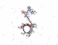 CNN(C)Cc1cc2cccnc2n1CCC(=O)N[C@@H](CCC(=O)O)C(=O)NCCOCCOCCC(=O)N(C)[C@@H](C)C(=O)O[C@H]1CC(=O)N(C)c2cc(cc(OC)c2Cl)C/C(C)=C/C=C/[C@@H](OC)[C@@]2(O)C[C@H](OC(=O)N2)[C@@H](C)[C@@H]2O[C@@]12C